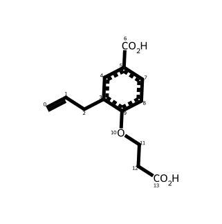 C=CCc1cc(C(=O)O)ccc1OCCC(=O)O